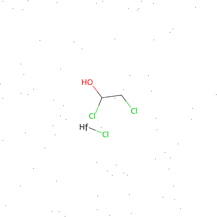 OC(Cl)CCl.[Cl][Hf]